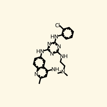 Cc1cc(N)c2cc(Nc3nc(NCCN(C)C)nc(Nc4ccccc4Cl)n3)ccc2n1